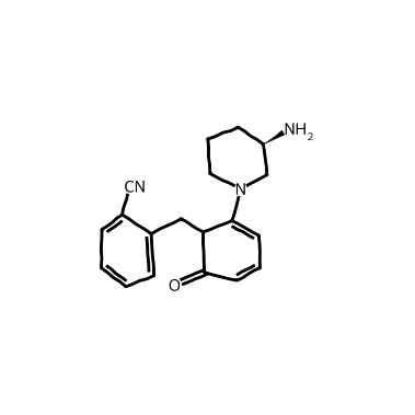 N#Cc1ccccc1CC1C(=O)C=CC=C1N1CCC[C@@H](N)C1